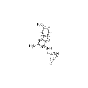 Nc1nc(NCC2NCC3CC32)c2oc3ccc(C(F)(F)F)cc3c2n1